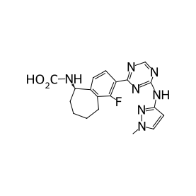 Cn1ccc(Nc2ncnc(-c3ccc4c(c3F)CCCC[C@H]4NC(=O)O)n2)n1